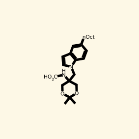 CCCCCCCCc1ccc2c(ccn2CC2(NC(=O)O)COC(C)(C)OC2)c1